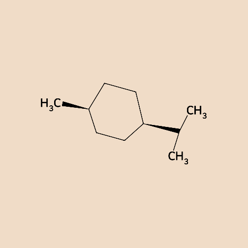 CC(C)[C@H]1CC[C@@H](C)CC1